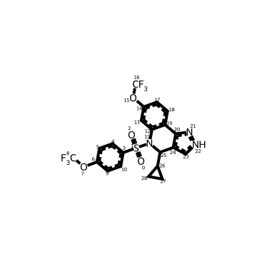 O=S(=O)(c1ccc(OC(F)(F)F)cc1)N1c2cc(OC(F)(F)F)ccc2-c2n[nH]cc2C1C1CC1